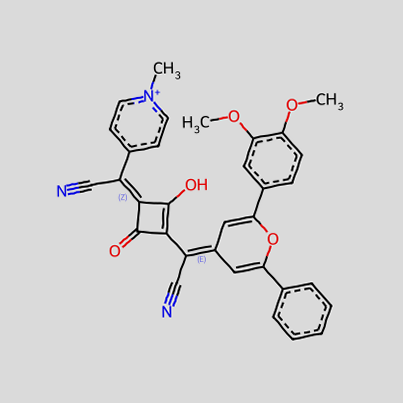 COc1ccc(C2=C/C(=C(/C#N)C3=C(O)/C(=C(/C#N)c4cc[n+](C)cc4)C3=O)C=C(c3ccccc3)O2)cc1OC